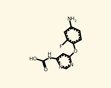 Nc1ccc(Oc2cc(NC(=O)O)ncn2)c(F)c1